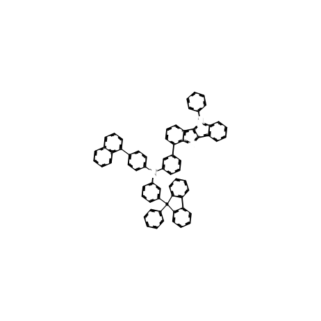 c1ccc(-n2c3ccccc3c3sc4c(-c5cccc(N(c6ccc(-c7cccc8ccccc78)cc6)c6cccc(C7(c8ccccc8)c8ccccc8-c8ccccc87)c6)c5)cccc4c32)cc1